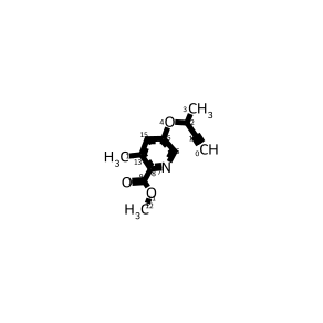 C#CC(C)Oc1cnc(C(=O)OC)c(C)c1